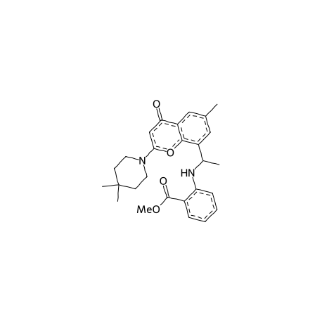 COC(=O)c1ccccc1NC(C)c1cc(C)cc2c(=O)cc(N3CCC(C)(C)CC3)oc12